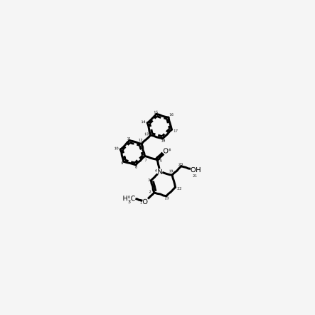 COC1=CN(C(=O)c2ccccc2-c2ccccc2)C(CO)CC1